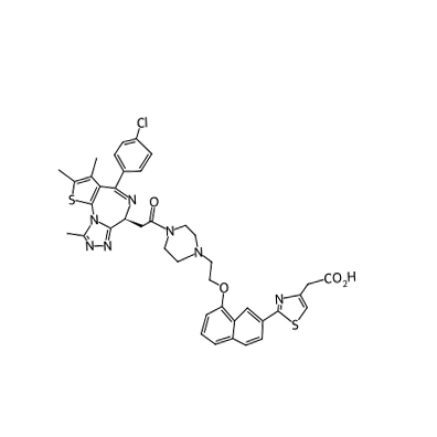 Cc1sc2c(c1C)C(c1ccc(Cl)cc1)=N[C@@H](CC(=O)N1CCN(CCOc3cccc4ccc(-c5nc(CC(=O)O)cs5)cc34)CC1)c1nnc(C)n1-2